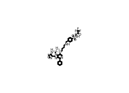 CCn1c(-c2nonc2N)nc2c(-c3ccccc3)ncc(OCCCCNCc3ccc(S(=O)(=O)NOC(=O)C(F)(F)F)cc3)c21